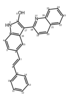 Oc1[nH]c2ccc(/C=C/c3ccccc3)cc2c1-c1ccc2ccccc2n1